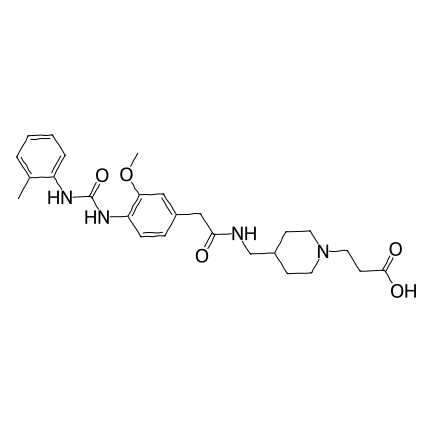 COc1cc(CC(=O)NCC2CCN(CCC(=O)O)CC2)ccc1NC(=O)Nc1ccccc1C